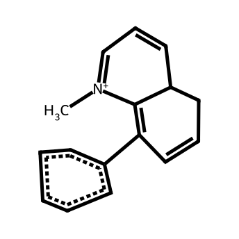 C[N+]1=CC=CC2CC=CC(c3ccccc3)=C21